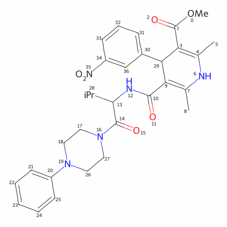 COC(=O)C1=C(C)NC(C)=C(C(=O)NC(C(=O)N2CCN(c3ccccc3)CC2)C(C)C)C1c1cccc([N+](=O)[O-])c1